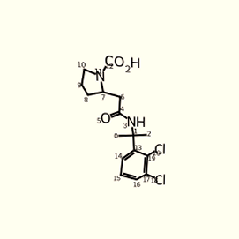 CC(C)(NC(=O)CC1CCCN1C(=O)O)c1cccc(Cl)c1Cl